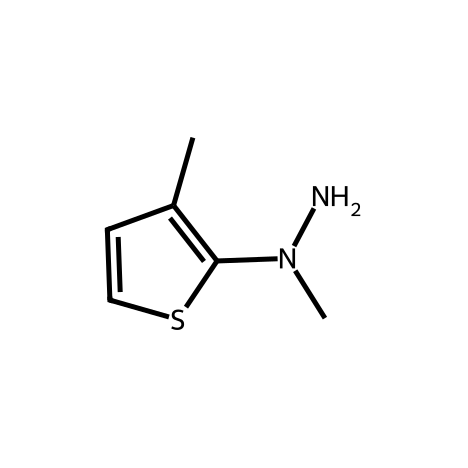 Cc1ccsc1N(C)N